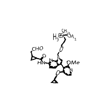 COc1nccc(OC2CC2)c1-c1cn(COCC[Si](C)(C)C)c2nc(NC(=O)C3CC3CC=O)ccc12